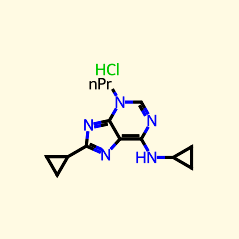 CCCn1cnc(NC2CC2)c2nc(C3CC3)nc1-2.Cl